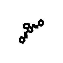 c1ccc(N=Nc2ccc(N=Nc3ccccc3)c3ccccc23)cc1